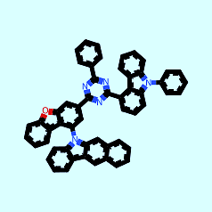 c1ccc(-c2nc(-c3cc(-n4c5ccccc5c5cc6ccccc6cc54)c4c(c3)oc3ccccc34)nc(-c3cccc4c3c3ccccc3n4-c3ccccc3)n2)cc1